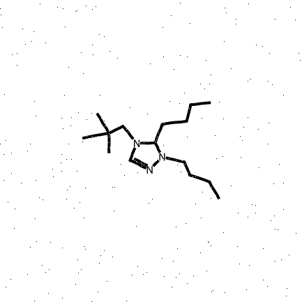 CCCCC1N(CC(C)(C)C)C=NN1CCCC